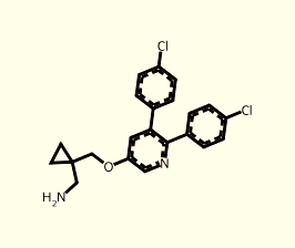 NCC1(COc2cnc(-c3ccc(Cl)cc3)c(-c3ccc(Cl)cc3)c2)CC1